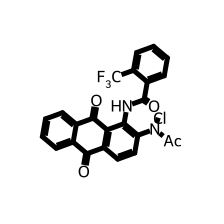 CC(=O)N(Cl)c1ccc2c(c1NC(=O)c1ccccc1C(F)(F)F)C(=O)c1ccccc1C2=O